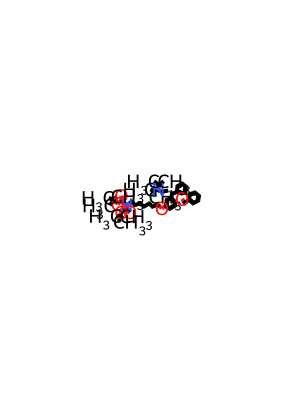 CC(C)N(CC[C@H](c1ccccc1)c1cc(OCCCCCCCN(C(=O)OC(C)(C)C)C(=O)OC(C)(C)C)ccc1OCc1ccccc1)C(C)C